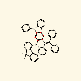 CC1(C)c2ccccc2-c2c(N(c3ccc4c5ccccc5n(-c5ccccc5)c4c3)c3ccccc3C(=C(c3ccccc3)c3ccccc3)c3ccccc3)cccc21